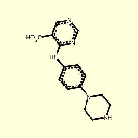 O=C(O)c1cncnc1Nc1ccc(N2CCNCC2)cc1